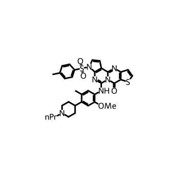 CCCN1CCC(c2cc(OC)c(Nc3nc4c(ccn4S(=O)(=O)c4ccc(C)cc4)c4nc5ccsc5c(=O)n34)cc2C)CC1